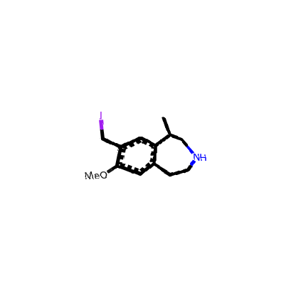 COc1cc2c(cc1CI)C(C)CNCC2